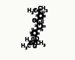 COC(=O)C(C)(C)Oc1cccc(C2CCCN(C(=O)c3cccc(C(C)C)c3)C2)c1